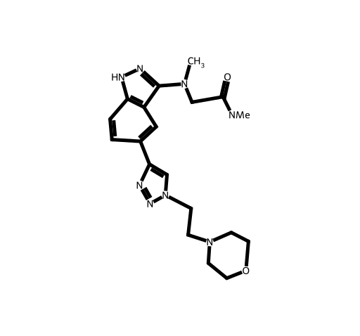 CNC(=O)CN(C)c1n[nH]c2ccc(-c3cn(CCN4CCOCC4)nn3)cc12